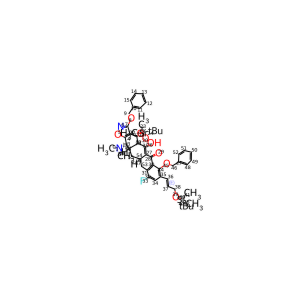 CN(C)[C@@H]1c2onc(OCc3ccccc3)c2C(=O)[C@@]2(O[Si](C)(C)C(C)(C)C)C(O)=C3C(=O)c4c(c(F)cc(/C=C/CO[Si](C)(C)C(C)(C)C)c4OCc4ccccc4)C[C@H]3C[C@@H]12